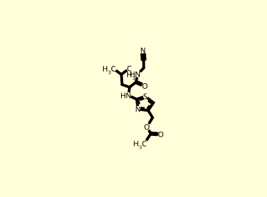 CC(=O)OCc1csc(NC(CC(C)C)C(=O)NCC#N)n1